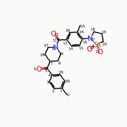 Cc1ccc(C(=O)C2CCN(C(=O)c3ccc(N4CCCS4(=O)=O)c(C)c3)CC2)cc1